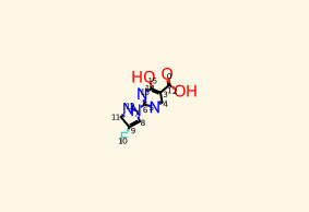 O=C(O)c1cnc(-n2cc(F)cn2)nc1O